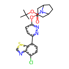 CC(C)(C)OC(=O)N1C2CCC1CC(Oc1ccc(-c3ccc(Cl)c4ncsc34)nn1)C2